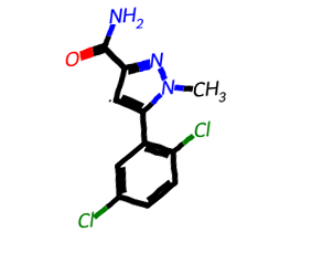 Cn1nc(C(N)=O)[c]c1-c1cc(Cl)ccc1Cl